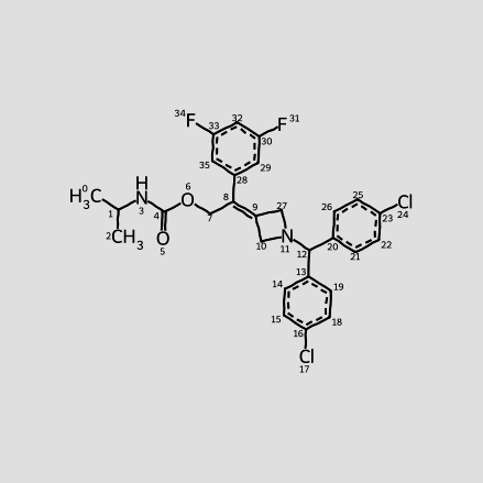 CC(C)NC(=O)OCC(=C1CN(C(c2ccc(Cl)cc2)c2ccc(Cl)cc2)C1)c1cc(F)cc(F)c1